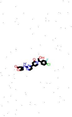 O=C1OC2CC(Nc3nccc(-c4ccn(C(CO)c5ccc(Cl)c(F)c5)c(=O)c4)n3)C1C2